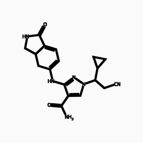 N#CCC(C1CC1)n1cc(C(N)=O)c(NC2=CC=C3C(=O)NCC3C2)n1